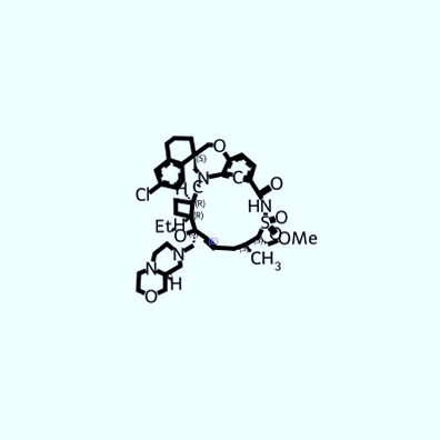 CCO[C@]1(CN2CCN3CCOC[C@@H]3C2)/C=C/C[C@H](C)[C@@H](COC)S(=O)(=O)NC(=O)c2ccc3c(c2)N(C[C@@H]2CC[C@H]21)C[C@@]1(CCCc2cc(Cl)ccc21)CO3